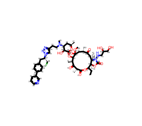 CCC1OC(=O)[C@H](C)C(=O)[C@@H](C)C(O[C@@H]2O[C@H](C)C[C@H](N(C)CCc3cn([C@H](CF)Cc4ccc(-c5cccnc5)cc4)nn3)C2O)C(O)(OC)C[C@H](C)C(=O)[C@H](C)[C@H]2N(NCC(O)CO)C(=O)O[C@@]12C